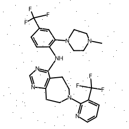 CN1CCN(c2cc(C(F)(F)F)ccc2Nc2ncnc3c2CCN(c2ncccc2C(F)(F)F)CC3)CC1